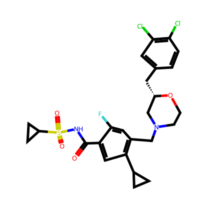 O=C(NS(=O)(=O)C1CC1)c1cc(C2CC2)c(CN2CCO[C@@H](Cc3ccc(Cl)c(Cl)c3)C2)cc1F